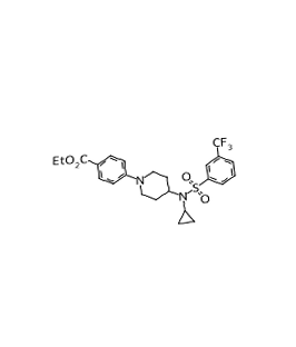 CCOC(=O)c1ccc(N2CCC(N(C3CC3)S(=O)(=O)c3cccc(C(F)(F)F)c3)CC2)cc1